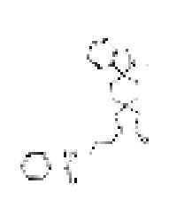 CN(C)C1(c2ccccc2)CCC2(CC1)CC(=O)N(CCCNC(=O)c1ccccc1)C2